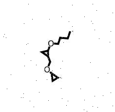 [CH2]CCCOC1CC1COC1[CH]C1